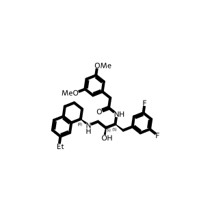 CCc1ccc2c(c1)[C@H](NC[C@H](O)[C@H](Cc1cc(F)cc(F)c1)NC(=O)Cc1cc(OC)cc(OC)c1)CCC2